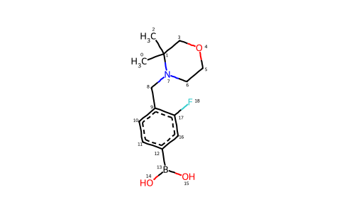 CC1(C)COCCN1Cc1ccc(B(O)O)cc1F